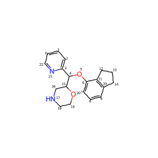 c1ccc(C(Oc2cccc3c2CCC3)C2CNCCO2)nc1